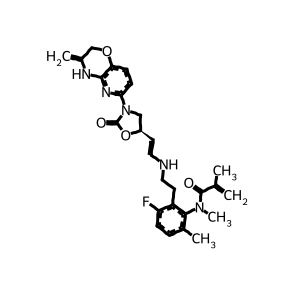 C=C1COc2ccc(N3C[C@@H](C=CNCCc4c(F)ccc(C)c4N(C)C(=O)C(=C)C)OC3=O)nc2N1